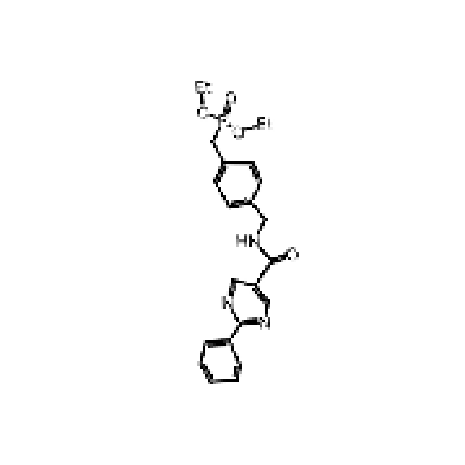 CCOP(=O)(Cc1ccc(CNC(=O)c2cnc(-c3ccccc3)nc2)cc1)OCC